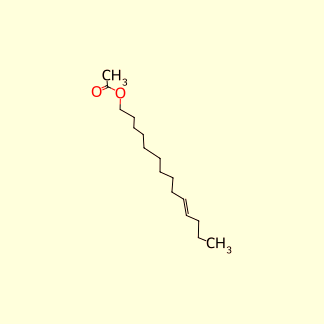 CCC/C=C/CCCCCCCCCOC(C)=O